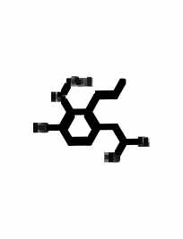 CC=Cc1c(CC(O)CC)ccc(O)c1NCCCCC